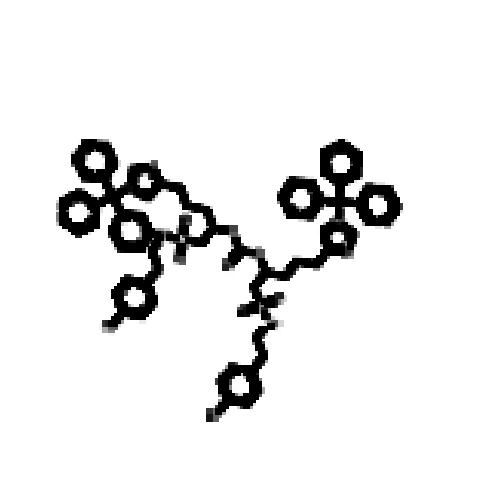 O=C(OC(CCCc1cn(C(c2ccccc2)(c2ccccc2)c2ccccc2)cn1)CS(=O)(=O)NCCc1ccc(Cl)cc1)OC(CCCc1cn(C(c2ccccc2)(c2ccccc2)c2ccccc2)cn1)CS(=O)(=O)NCCc1ccc(Cl)cc1